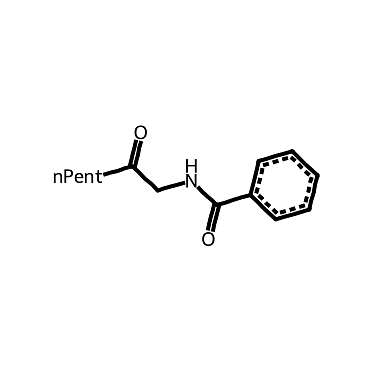 CCCCCC(=O)CNC(=O)c1ccccc1